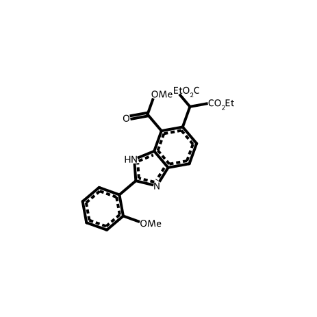 CCOC(=O)C(C(=O)OCC)c1ccc2nc(-c3ccccc3OC)[nH]c2c1C(=O)OC